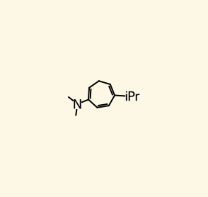 CC(C)C1=CCC=C(N(C)C)C=C1